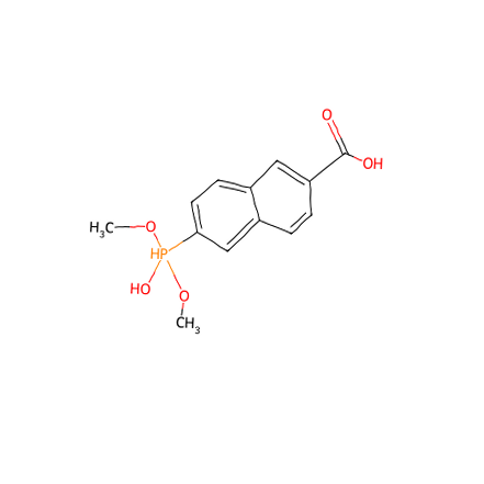 CO[PH](O)(OC)c1ccc2cc(C(=O)O)ccc2c1